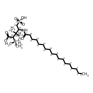 CCCCCCCCCCCCCCCCCC(=O)NC(CS(=O)(=O)O)C(C)(C)C(C(=O)[O-])[N+](C)(C)C